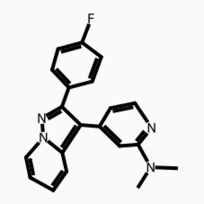 CN(C)c1cc(-c2c(-c3ccc(F)cc3)nn3ccccc23)ccn1